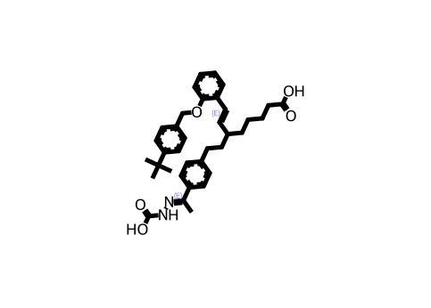 C/C(=N\NC(=O)O)c1ccc(CCC(/C=C/c2ccccc2OCc2ccc(C(C)(C)C)cc2)CCCCC(=O)O)cc1